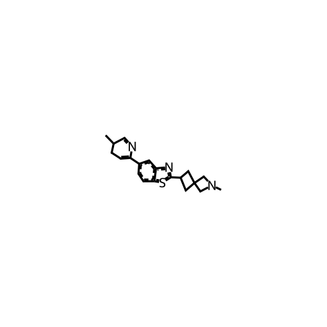 CC1C=NC(c2ccc3sc(C4CC5(C4)CN(C)C5)nc3c2)=CC1